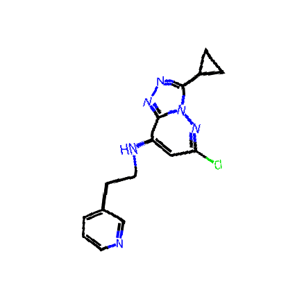 Clc1cc(NCCc2cccnc2)c2nnc(C3CC3)n2n1